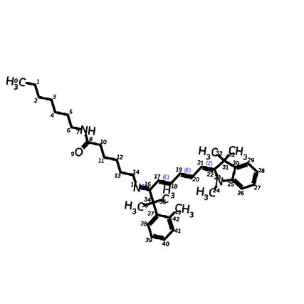 CCCCCCCNC(=O)CCCCC\N=C(/C=C/C=C/C=C1\N(C)c2ccccc2C1(C)C)C(C)(C)c1ccccc1C